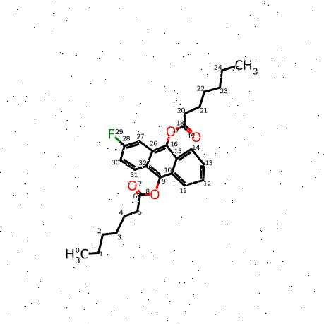 CCCCCCC(=O)Oc1c2ccccc2c(OC(=O)CCCCCC)c2cc(F)ccc12